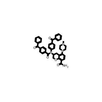 CN1CCN(c2ccc(C(N)=O)c3c2CC(N(C(=O)c2ccc(C(=O)c4ccccc4)cc2)c2ccc(C(=O)c4ccccc4)cc2)CO3)CC1